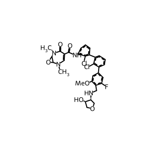 COc1cc(-c2cccc(-c3cccc(NC(=O)C4=CN(C)C5OC5N(C)C4=O)c3Cl)c2Cl)cc(F)c1CN[C@H]1COC[C@H]1O